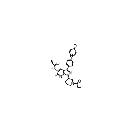 C=CC(=O)Nc1cc2c(-c3ccc(-n4ccc(=O)cc4)cc3)nn([C@@H]3CCCN(C(=O)C=C)C3)c2nc1C